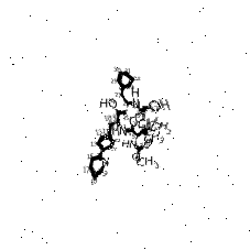 COC(=O)N[C@H](C(=O)N[C@@H](Cc1ccc(-c2ccccn2)cc1)[C@@H](O)C[C@H](Cc1ccccc1)NC(=O)O)C(C)(C)C